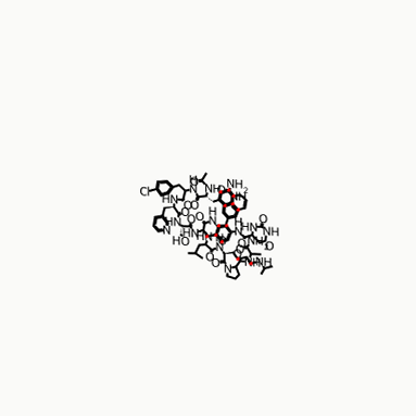 CC(=O)N[C@H](Cc1ccc2c(c1)CC=CC2)C(=O)NC(Cc1ccc(Cl)cc1)C(=O)N[C@H](Cc1cccnc1)C(=O)N[C@@H](CO)C(=O)NC(Cc1ccc(NC(=O)C2CC(=O)NC(=O)N2)cc1)C(=O)NC(Cc1ccc(NC(N)=O)cc1)C(=O)NC(CC(C)C)C(=O)N[C@@H](CCCCNC(C)C)C(=O)N1CCCC1C(=O)NC(C)C(N)=O